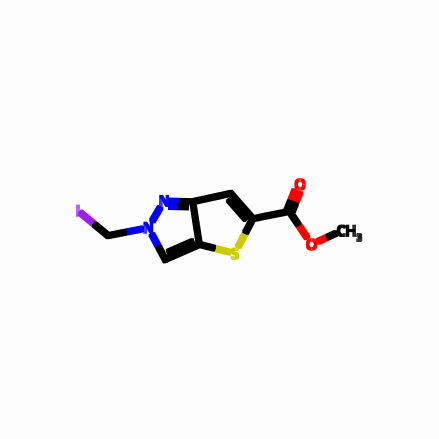 COC(=O)c1cc2nn(CI)cc2s1